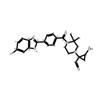 CC1(C)CN(C2(C=O)CC2O)CCN1C(=O)c1ccc(-c2nc3ccc(F)cc3o2)cc1